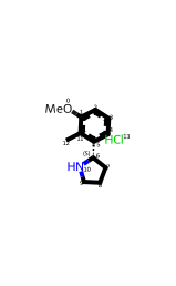 COc1cccc([C@@H]2CCCN2)c1C.Cl